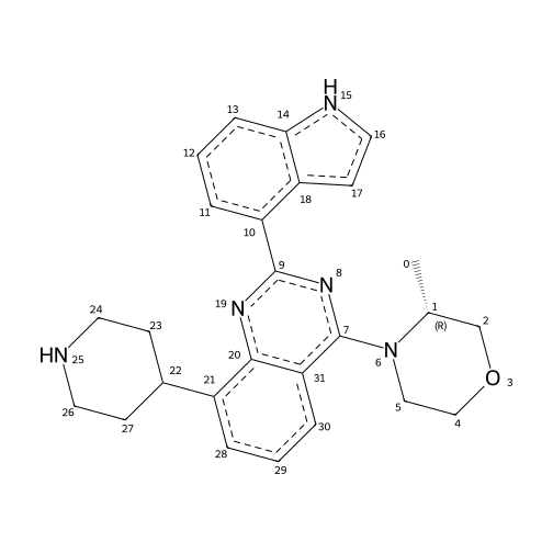 C[C@@H]1COCCN1c1nc(-c2cccc3[nH]ccc23)nc2c(C3CCNCC3)cccc12